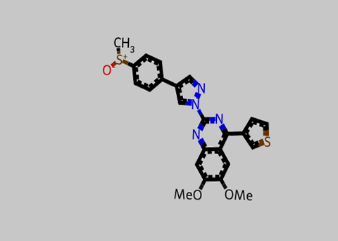 COc1cc2nc(-n3cc(-c4ccc([S+](C)[O-])cc4)cn3)nc(-c3ccsc3)c2cc1OC